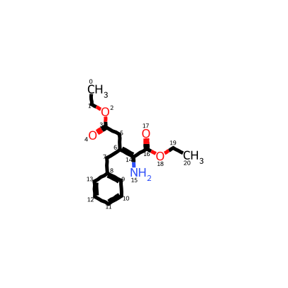 CCOC(=O)CC(Cc1ccccc1)=C(N)C(=O)OCC